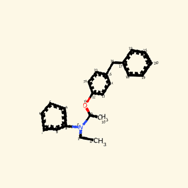 CCN(c1ccccc1)C(C)Oc1ccc(Cc2ccccc2)cc1